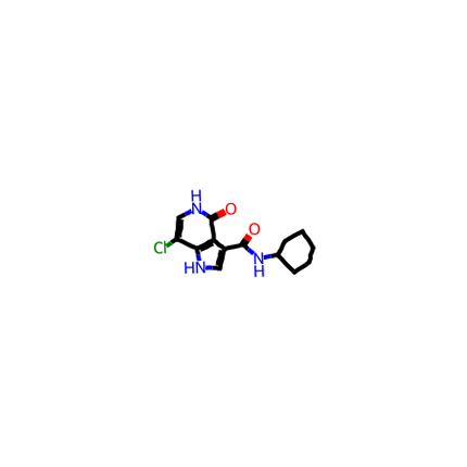 O=C(NC1CCCCC1)c1c[nH]c2c(Cl)c[nH]c(=O)c12